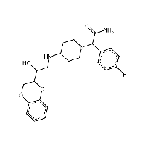 NC(=O)C(c1ccc(F)cc1)N1CCC(NCC(O)C2COc3ccccc3O2)CC1